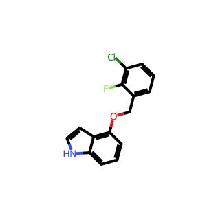 Fc1c(Cl)cccc1COc1cccc2[nH]ccc12